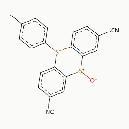 [C-]#[N+]c1ccc2c(c1)[S+]([O-])c1cc(C#N)ccc1[S+]2c1ccc(C)cc1